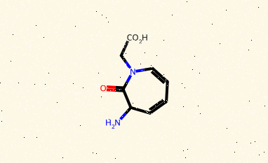 NC1C=CC=CN(CC(=O)O)C1=O